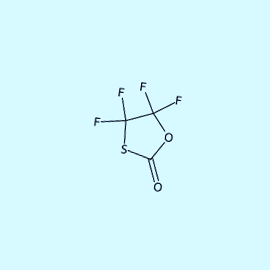 O=C1OC(F)(F)C(F)(F)S1